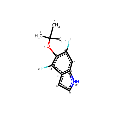 CC(C)(C)Oc1c(F)cc2[nH]ccc2c1F